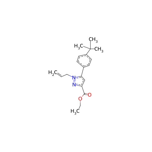 C=CCn1nc(C(=O)OCC)cc1-c1ccc(C(C)(C)C)cc1